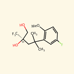 COc1ccc(F)cc1C(C)(C)C[C@@](O)(CO)C(F)(F)F